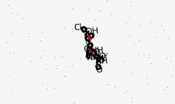 O=C(NS(=O)(=O)c1ccc(NCC2CCOCC2)c([N+](=O)[O-])c1)c1ccc(N2CCN(CC(O)(c3ccccc3)c3ccc(Cl)cc3)CC2)cc1Oc1cnc2[nH]ccc2c1